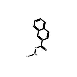 O=C(OBO)c1ccc2ccccc2c1